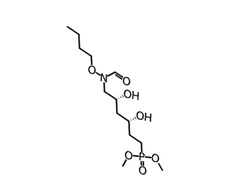 CCCCON(C=O)C[C@H](O)C[C@H](O)CCP(=O)(OC)OC